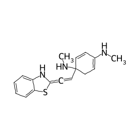 CNC1=CCC(C=C=C2Nc3ccccc3S2)(NC)C=C1